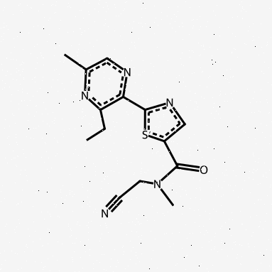 CCc1nc(C)cnc1-c1ncc(C(=O)N(C)CC#N)s1